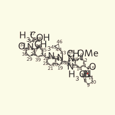 COc1cc(C(=O)N2CC3CCC2[C@@H]3C)cc2nc(-c3cc4ccc(-c5ccc6c(ccc(=O)n6CC(C)(C)O)c5)nc4n3CC3CC3)n(C)c12